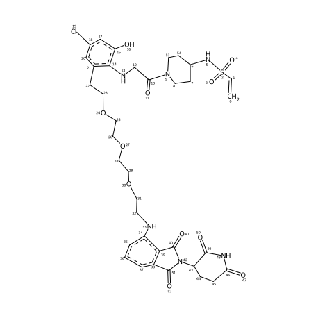 C=CS(=O)(=O)NC1CCN(C(=O)CNc2c(O)cc(Cl)cc2CCOCCOCCOCCNc2cccc3c2C(=O)N(C2CCC(=O)NC2=O)C3=O)CC1